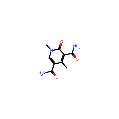 Cc1c(C(N)=O)cn(C)c(=O)c1C(N)=O